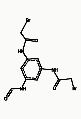 O=CNc1cc(NC(=O)CBr)cc(NC(=O)CBr)c1